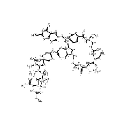 COC1(O[C@H]([C@H](C)OC(C)=O)[C@H]2O[C@@H]3C=C(C)[C@@H](OC(=O)CC(C)C)C[C@]3(COC(C)=O)C(C)(C)[C@]23CO3)CCC(NC(=O)CN2C(=O)CC(SC[C@@H](NC(=O)[C@@H](CC(=O)O)NC(=O)[C@H](CN)NC(=O)CC[C@@H](NC(=O)c3ccc(NCc4cnc5nc(N)[nH]c(=O)c5n4)cc3)C(=O)O)C(=O)O)C2=O)CC1